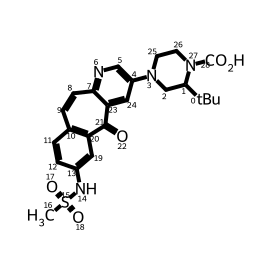 CC(C)(C)C1CN(c2cnc3ccc4ccc(NS(C)(=O)=O)cc4c(=O)c3c2)CCN1C(=O)O